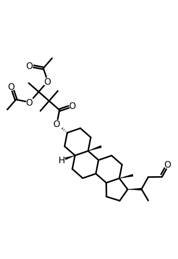 CC(=O)OC(C)(OC(C)=O)C(C)(C)C(=O)O[C@@H]1CC[C@]2(C)C3CC[C@@]4(C)C(CC[C@@H]4C(C)CC=O)C3CC[C@@H]2C1